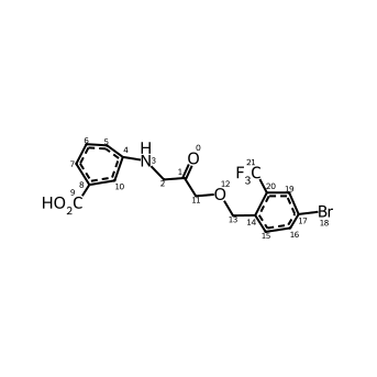 O=C(CNc1cccc(C(=O)O)c1)COCc1ccc(Br)cc1C(F)(F)F